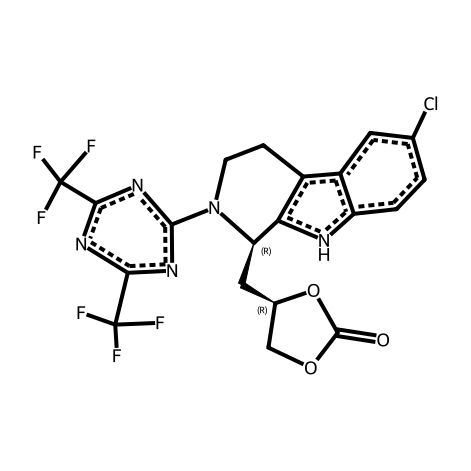 O=C1OC[C@@H](C[C@@H]2c3[nH]c4ccc(Cl)cc4c3CCN2c2nc(C(F)(F)F)nc(C(F)(F)F)n2)O1